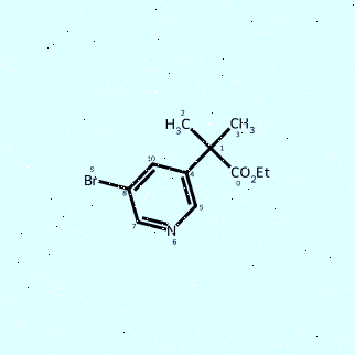 CCOC(=O)C(C)(C)c1cncc(Br)c1